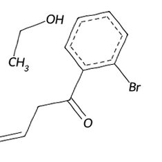 CCO.O=CCC(=O)c1ccccc1Br